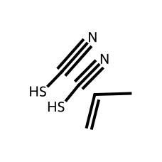 C=CC.N#CS.N#CS